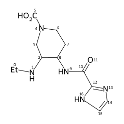 CCNC1CN(C(=O)O)CCC1NC(=O)c1ncc[nH]1